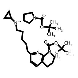 CC(C)(C)OC(=O)N1CC[C@@H](N(CCCCCc2ccc3c(n2)N(C(=O)OC(C)(C)C)CCC3)C2CC2)C1